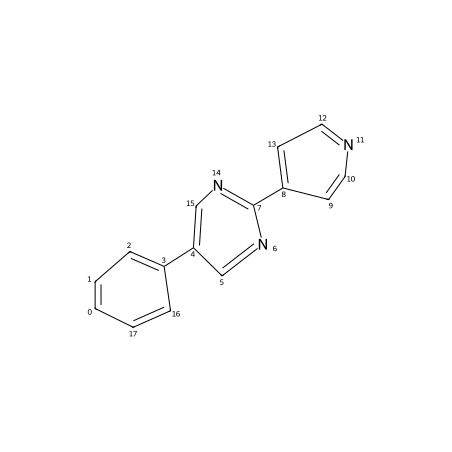 c1ccc(-c2cnc(-c3ccncc3)nc2)cc1